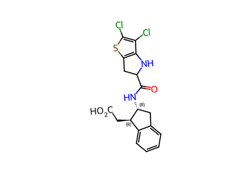 O=C(O)C[C@@H]1c2ccccc2C[C@H]1NC(=O)C1Cc2sc(Cl)c(Cl)c2N1